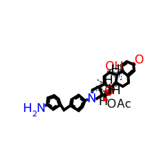 CC(=O)OCC(=O)[C@@]12CN(c3ccc(Cc4cccc(N)c4)cc3)C[C@@H]1C[C@H]1[C@@H]3CCC4=CC(=O)C=C[C@]4(C)[C@H]3[C@@H](O)C[C@@]12C